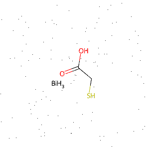 O=C(O)CS.[BiH3]